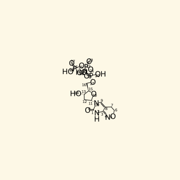 O=C1NC2=NOCCC2=CN1[C@@H]1C[C@H](O)[C@@H](COP(=O)(O)OP(=O)(O)OP(=O)(O)O)O1